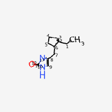 CCC1=CCCC1CC1=CNC(=O)[N]1